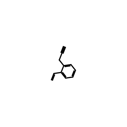 C#CCc1ccccc1C=C